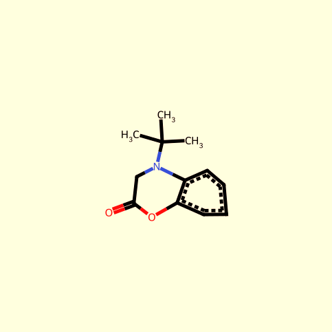 CC(C)(C)N1CC(=O)Oc2ccccc21